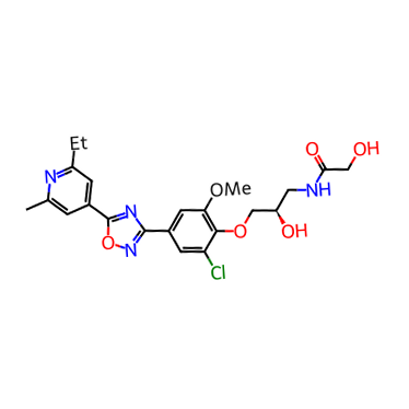 CCc1cc(-c2nc(-c3cc(Cl)c(OC[C@H](O)CNC(=O)CO)c(OC)c3)no2)cc(C)n1